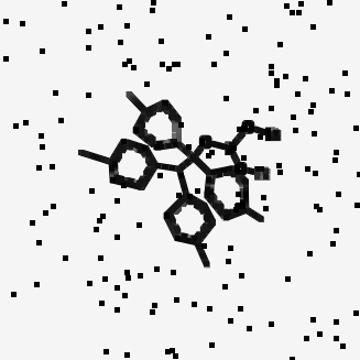 CCOB(OCC)OC(c1ccc(C)cc1)(c1ccc(C)cc1)C(c1ccc(C)cc1)c1ccc(C)cc1